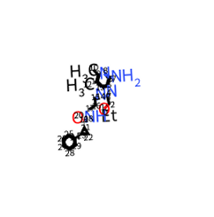 CCOCc1nc2c(N)nc(C)c(C)c2n1CCCNC(=O)[C@@H]1C[C@H]1c1ccccc1